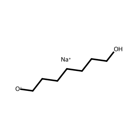 [Na+].[O-]CCCCCCCO